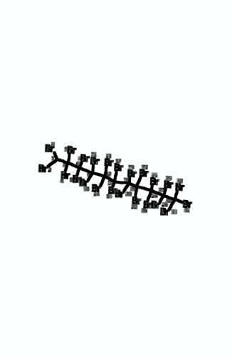 Br[C](Br)C(Br)(Br)C(Br)(Br)C(Br)(Br)C(Br)(Br)C(Br)(Br)C(Br)(Br)C(Br)(Br)C(Br)(Br)C(Br)(Br)C(Br)(Br)Br